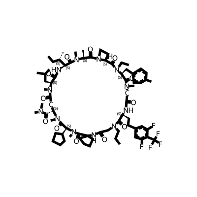 CCCN1CC(=O)NC2(CCCC2)C(=O)N(C)[C@@H](C2CCCC2)C(=O)N(C)[C@H](C(=O)N(C)C)CC(=O)N(C)[C@@H](CC(C)C)C(=O)N[C@@H]([C@@H](C)CC)C(=O)N(C)[C@@H](C)C(=O)N2CC[C@H]2C(=O)N(CC)[C@@H](Cc2ccc(C)cc2)C(=O)N(C)CC(=O)N[C@@H](CCc2cc(F)c(C(F)(F)F)c(F)c2)C1=O